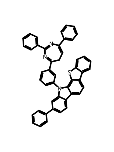 C1=C(c2ccccc2)N=C(c2ccccc2)N=C(c2cccc(-n3c4cc(-c5ccccc5)ccc4c4ccc5c6ccccc6sc5c43)c2)C1